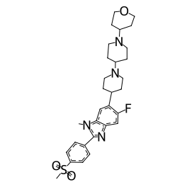 Cn1c(-c2ccc(S(C)(=O)=O)cc2)nc2cc(F)c(C3CCN(C4CCN(C5CCOCC5)CC4)CC3)cc21